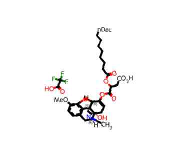 CCCCCCCCCCCCCCCCCC(=O)OC(CC(=O)O)C(=O)OC1=CC[C@@]2(O)[C@H]3Cc4ccc(OC)c5c4[C@@]2(CCN3C)[C@H]1O5.O=C(O)C(F)(F)F